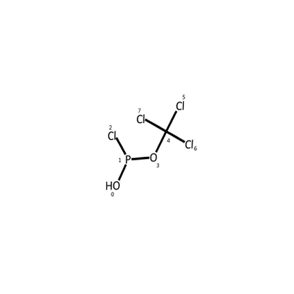 OP(Cl)OC(Cl)(Cl)Cl